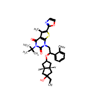 COc1ccccc1C(Cn1c(=O)n(C(C)(C)C(=O)O)c(=O)c2c(C)c(-c3ncco3)sc21)OC1C[C@@H]2CC(O)(CC#N)C[C@@H]2C1